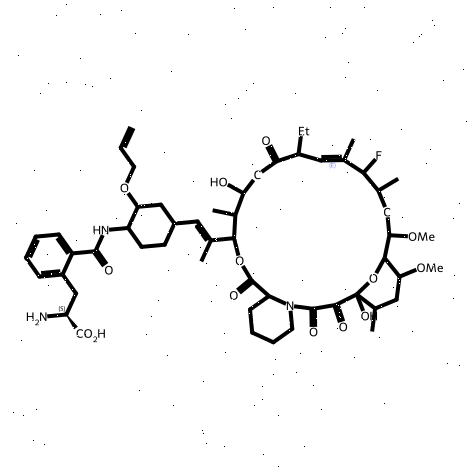 C=CCOC1CC(C=C(C)C2OC(=O)C3CCCCN3C(=O)C(=O)C3(O)OC(C(OC)CC(C)C(F)/C(C)=C/C(CC)C(=O)CC(O)C2C)C(OC)CC3C)CCC1NC(=O)c1ccccc1C[C@H](N)C(=O)O